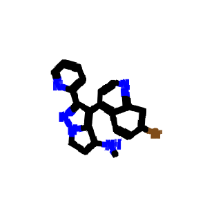 CNC1CCn2nc(-c3ccccn3)c(-c3ccnc4cc(Br)ccc34)c21